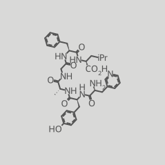 CC(C)C[C@H](NC(=O)[C@H](Cc1ccccc1)NC(=O)CNC(=O)[C@@H](C)NC(=O)[C@H](Cc1ccc(O)cc1)NC(=O)[C@@H](N)Cc1cccnc1)C(=O)O